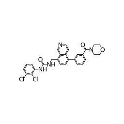 O=C(NCc1ccc(-c2cccc(C(=O)N3CCOCC3)c2)c2ccncc12)Nc1cccc(Cl)c1Cl